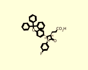 O=C(O)CC[C@H]1C(=O)N(c2ccc(F)cc2)[C@@H]1c1ccc(OC(c2ccccc2)(c2ccccc2)c2ccccc2)cc1